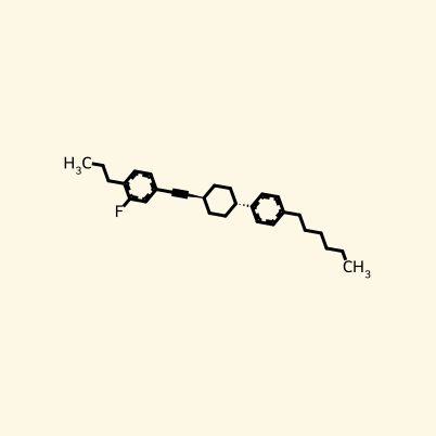 CCCCCCc1ccc([C@H]2CC[C@H](C#Cc3ccc(CCC)c(F)c3)CC2)cc1